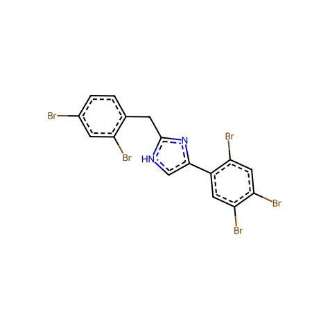 Brc1ccc(Cc2nc(-c3cc(Br)c(Br)cc3Br)c[nH]2)c(Br)c1